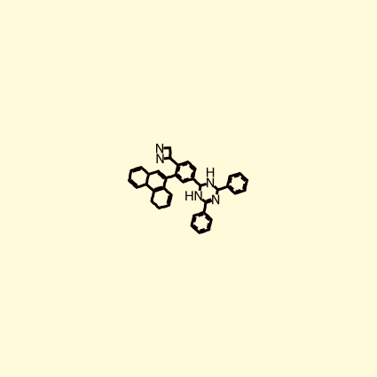 C1=CC2C=C(c3cc(C4NC(c5ccccc5)=NC(c5ccccc5)N4)ccc3C3CN=N3)C3=C(CCC=C3)C2C=C1